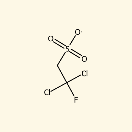 [O]S(=O)(=O)CC(F)(Cl)Cl